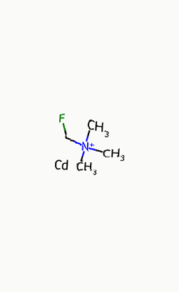 C[N+](C)(C)CF.[Cd]